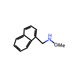 CONCc1cccc2ccccc12